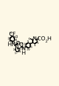 Cc1nc(C(=O)O)ccc1-c1ccc(NC(=O)[C@H]2CCCN2C(=O)Nc2ccc(C(F)(F)F)cc2)cc1